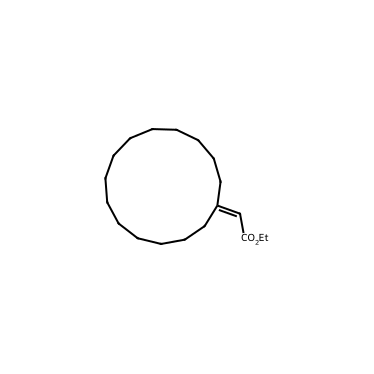 CCOC(=O)C=C1CCCCCCCCCCCCCC1